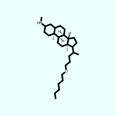 CCCCCCOCCCC(C)C1CC[C@H]2[C@@H]3CCC4CC(NC)CC[C@]4(C)[C@@H]3CC[C@]12C